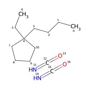 CCCCC1(CC)CCCC1.N=C=O.N=C=O